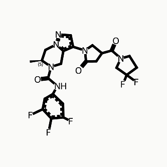 C[C@H]1Cn2ncc(N3CC(C(=O)N4CCC(F)(F)C4)CC3=O)c2CN1C(=O)Nc1cc(F)c(F)c(F)c1